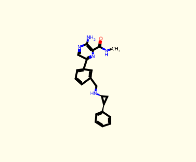 CNC(=O)c1nc(-c2cccc(CN[C@H]3C[C@H]3c3ccccc3)c2)cnc1N